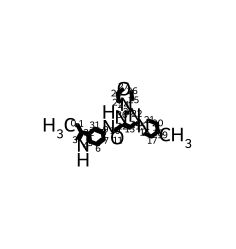 CCc1c[nH]c2ccc(NC(=O)c3cc(N4CCC(C)CC4)nc(N4CCOCC4)n3)cc12